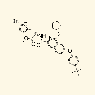 COC(=O)[C@H](Cc1ccc(Br)o1)NC(=O)c1cc2ccc(Oc3ccc(C(C)(C)C)cc3)cc2c(CC2CCCC2)n1